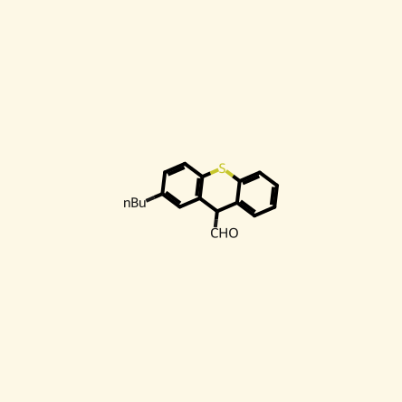 CCCCc1ccc2c(c1)C(C=O)c1ccccc1S2